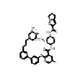 C[C@@H]1CN(CCCc2cccc(-c3cccc(Oc4ncc(F)cc4C(=O)N[C@H]4CC[C@@H](NC(=O)c5cc6n(n5)CCC6)CC4)c3)c2)C[C@H](C)N1